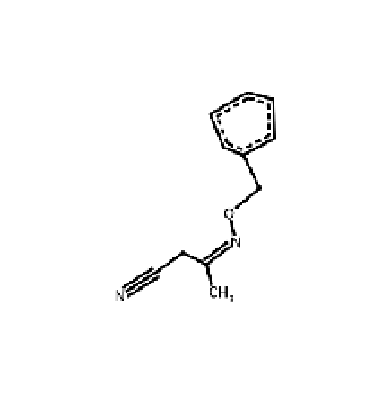 CC(CC#N)=NOCc1ccccc1